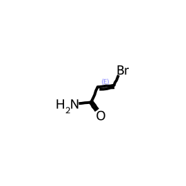 NC(=O)/C=C/Br